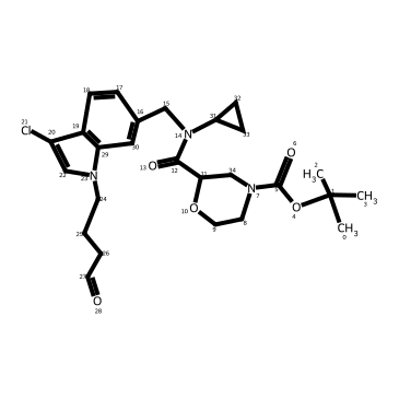 CC(C)(C)OC(=O)N1CCOC(C(=O)N(Cc2ccc3c(Cl)cn(CCCC=O)c3c2)C2CC2)C1